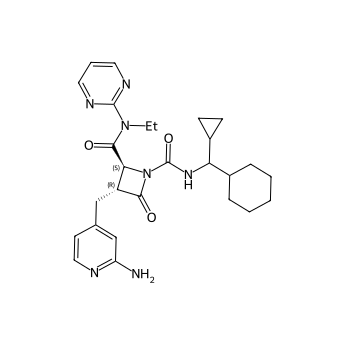 CCN(C(=O)[C@@H]1[C@@H](Cc2ccnc(N)c2)C(=O)N1C(=O)NC(C1CCCCC1)C1CC1)c1ncccn1